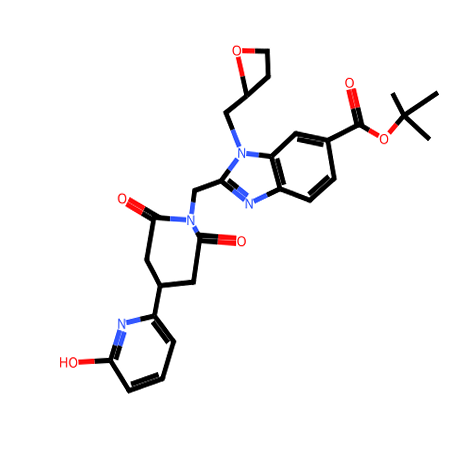 CC(C)(C)OC(=O)c1ccc2nc(CN3C(=O)CC(c4cccc(O)n4)CC3=O)n(CC3CCO3)c2c1